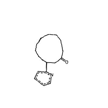 O=C1CCCCCCCCC(c2ccccn2)C1